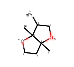 CCCC1COC2(C)CCOC12C